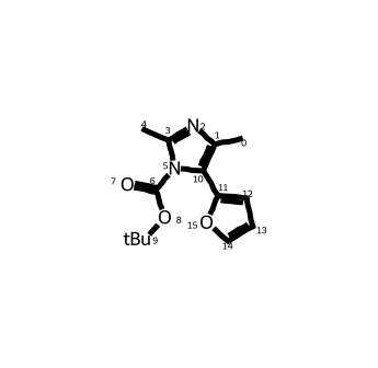 Cc1nc(C)n(C(=O)OC(C)(C)C)c1-c1ccco1